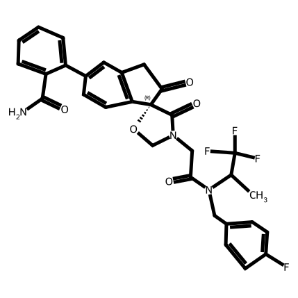 CC(N(Cc1ccc(F)cc1)C(=O)CN1CO[C@]2(C(=O)Cc3cc(-c4ccccc4C(N)=O)ccc32)C1=O)C(F)(F)F